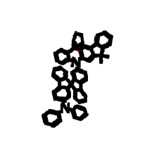 CC1(C)c2ccccc2-c2ccc(N(c3ccc4c(c3)C3(c5ccccc5-c5ccc(N(c6ccccc6)c6ccccc6)cc53)c3ccccc3-4)c3ccccc3C3CC4CCC3C4)cc21